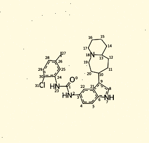 O=C(Nc1ccc2[nH]cc(C3CCC4CCCCN4CC3)c2c1)Nc1cc(I)ccc1Cl